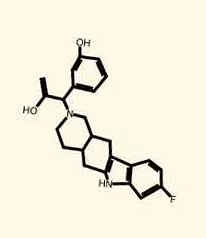 C=C(O)C(c1cccc(O)c1)N1CCC2Cc3[nH]c4cc(F)ccc4c3CC2C1